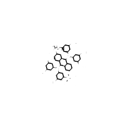 CC(C)(C)c1cc(N(c2cc(C(C)(C)C)cc(S(C)(C)C)c2)c2c3ccccc3c(N(c3cc(C(C)(C)C)cc(C(C)(C)C)c3)c3cc(C(C)(C)C)cc(C(C)(C)C)c3)c3cc(S(C)(C)C)ccc23)cc(C(C)(C)C)c1